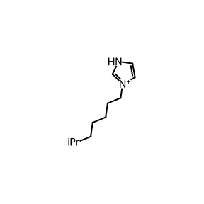 CC(C)CCCCC[n+]1cc[nH]c1